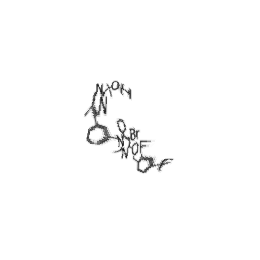 Cc1cnc(C(C)(C)O)nc1-c1cccc(-n2c(C)nc(OCc3ccc(F)cc3F)c(Br)c2=O)c1